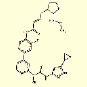 CO[SiH2]C1CCCN1C/C=C/C(=O)Nc1ccc(-c2cccc([C@H](C)C(=O)Nc3cc(C4CC4)[nH]n3)c2)cc1F